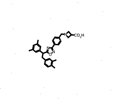 Cc1cc(C)cc(C(Cc2ccc(C)c(C)c2)c2nc(-c3ccc(CN4CC(C(=O)O)C4)cc3)no2)c1